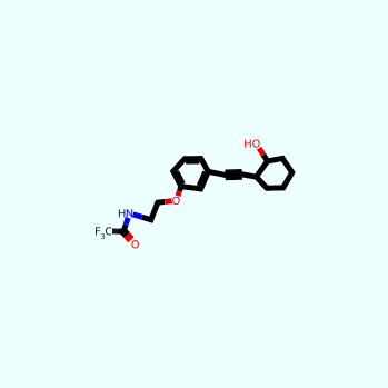 O=C(NCCOc1cccc(C#CC2CCCCC2O)c1)C(F)(F)F